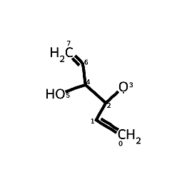 C=CC([O])C(O)C=C